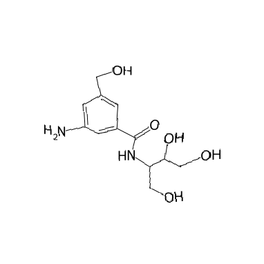 Nc1cc(CO)cc(C(=O)NC(CO)C(O)CO)c1